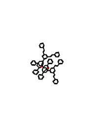 C(=Cc1cc(C=Cc2ccccc2)cc(C23CC4(c5ccccc5)CC(c5ccccc5)(C2)CC(C25CC6(c7ccccc7)CC(c7ccccc7)(CC(c7cc(C=Cc8ccccc8)cc(C=Cc8ccccc8)c7)(C6)C2)C5)(C4)C3)c1)c1ccccc1